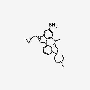 Bc1cc(C(C)OCC2(c3ccccc3)CCN(C)CC2)c2ncn(CC3CC3)c2c1